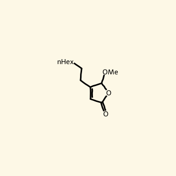 CCCCCCCCC1=CC(=O)OC1OC